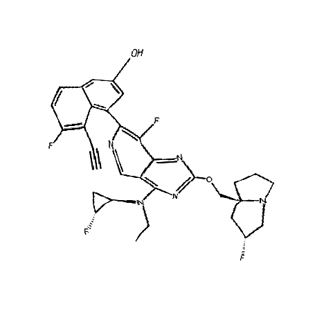 C#Cc1c(F)ccc2cc(O)cc(-c3ncc4c(N(CC)[C@@H]5C[C@H]5F)nc(OC[C@@]56CCCN5C[C@H](F)C6)nc4c3F)c12